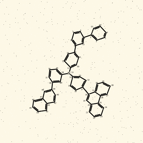 c1ccc(-c2cccc(-c3ccc(N(c4ccc(-c5cc6ccccc6c6ccccc56)cc4)c4cccc(-c5ccc6ccccc6c5)c4)cc3)c2)cc1